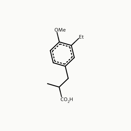 CCc1cc(CC(C)C(=O)O)ccc1OC